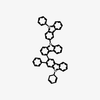 C1=CCC(n2c3ccccc3c3cc(-c4cccc5c4c4ccccc4n5-c4ccc5c(c4)c4ccccc4n5-c4ccccc4)c(-c4ccccc4)cc32)C=C1